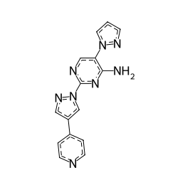 Nc1nc(-n2cc(-c3ccncc3)cn2)ncc1-n1cccn1